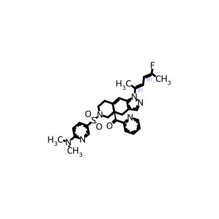 C/C(F)=C\C=C(/C)n1ncc2c1C=C1CCN(S(=O)(=O)c3ccc(N(C)C)nc3)C[C@@]1(C(=O)c1ccccn1)C2